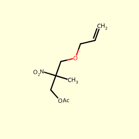 C=CCOCC(C)(COC(C)=O)[N+](=O)[O-]